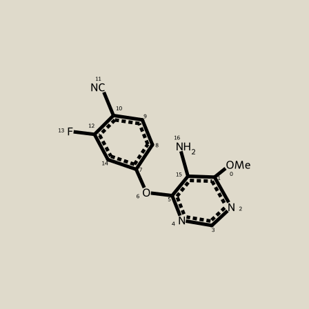 COc1ncnc(Oc2ccc(C#N)c(F)c2)c1N